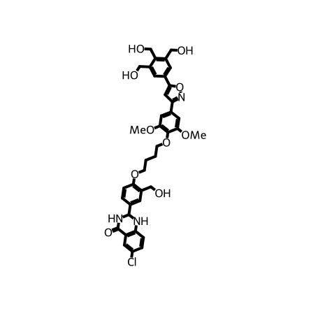 COc1cc(-c2cc(-c3cc(CO)c(CO)c(CO)c3)on2)cc(OC)c1OCCCCOc1ccc(C2NC(=O)c3cc(Cl)ccc3N2)cc1CO